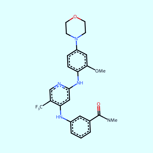 CNC(=O)c1cccc(Nc2cc(Nc3ccc(N4CCOCC4)cc3OC)ncc2C(F)(F)F)c1